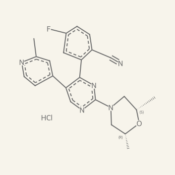 Cc1cc(-c2cnc(N3C[C@@H](C)O[C@@H](C)C3)nc2-c2cc(F)ccc2C#N)ccn1.Cl